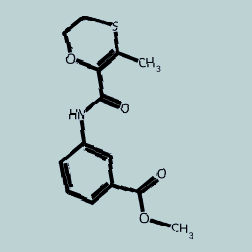 COC(=O)c1cccc(NC(=O)C2=C(C)SCCO2)c1